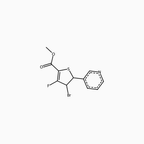 COC(=O)C1=C(F)C(Br)C(c2cccnc2)S1